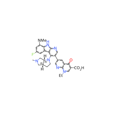 CCn1cc(C(=O)O)c(=O)c2cc(-c3cnc4[nH]c5c(NC)cc(F)cc5c4c3N3CC[C@@H]4CN(C)C[C@@H]43)cnc21